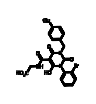 CC(C)(C)c1ccc(Cn2c(=O)c(C(=O)NCC(=O)O)c(O)n(-c3ccccc3Br)c2=O)cc1